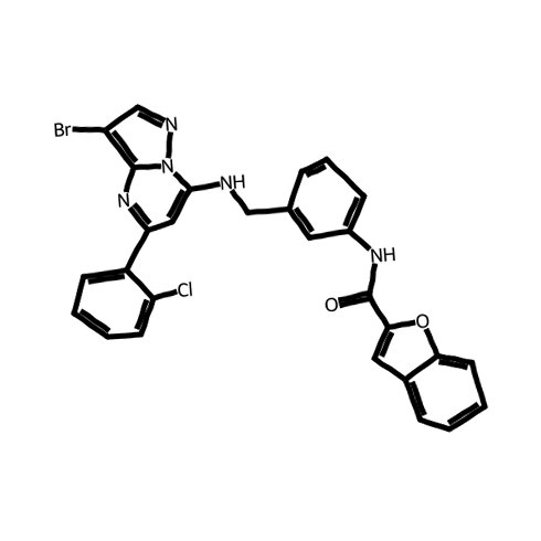 O=C(Nc1cccc(CNc2cc(-c3ccccc3Cl)nc3c(Br)cnn23)c1)c1cc2ccccc2o1